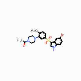 COc1ccc(S(=O)(=O)c2c[nH]c3ccc(Br)cc23)cc1N1CCN(C(=O)C(Cl)(Cl)Cl)CC1